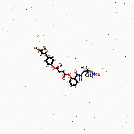 CC(C)(CNC(=O)c1ccccc1OC(=O)CCC(=O)Oc1ccc(-c2cc(=S)ss2)cc1)SN=O